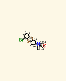 Brc1cccc2c1Sc1ccc(N3C4COC[C@H]43)cc1S2